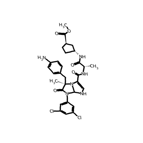 COC(=O)[C@@H]1CC[C@@H](NC(=O)[C@H](C)NC(=O)C2=CNC3N(c4cc(Cl)cc(Cl)c4)C(=O)[C@@](C)(Cc4ccc(N)cc4)N23)C1